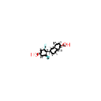 Oc1cc(F)c(-c2ccc3cc(O)ccc3c2)c(F)c1